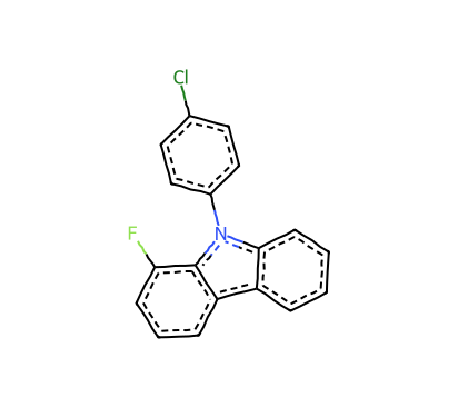 Fc1cccc2c3ccccc3n(-c3ccc(Cl)cc3)c12